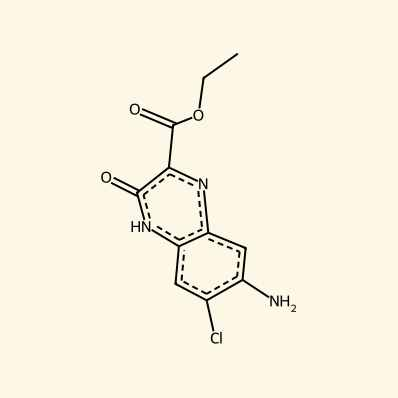 CCOC(=O)c1nc2cc(N)c(Cl)cc2[nH]c1=O